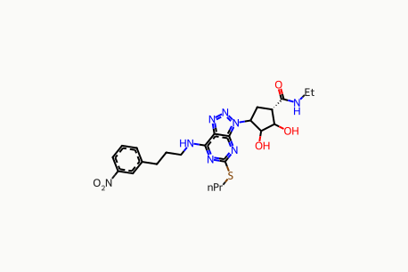 CCCSc1nc(NCCCc2cccc([N+](=O)[O-])c2)c2nnn(C3C[C@H](C(=O)NCC)C(O)C3O)c2n1